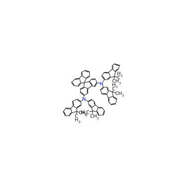 CC1(C)c2ccccc2-c2ccc(N(c3ccc4c(c3)-c3cc(N(c5ccc6c(c5)C(C)(C)c5ccccc5-6)c5ccc6c(c5)C(C)(C)c5ccccc5-6)ccc3C43c4ccccc4-c4ccccc43)c3ccc4c(c3)C(C)(C)c3ccccc3-4)cc21